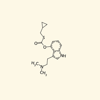 CN(C)CCc1c[nH]c2cccc(OC(=O)SCC3CC3)c12